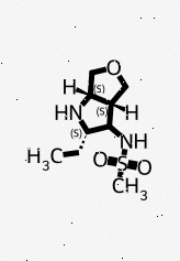 CC[C@@H]1N[C@@H]2COC[C@@H]2C1NS(C)(=O)=O